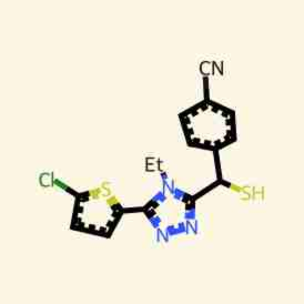 CCn1c(-c2ccc(Cl)s2)nnc1C(S)c1ccc(C#N)cc1